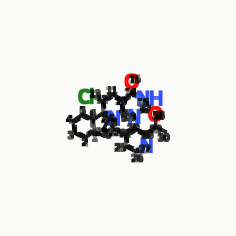 Cc1ccccc1-c1nc2c(cc1Cl)c(=O)[nH]c(=O)n2-c1c(C2CC2)ccnc1C(C)C